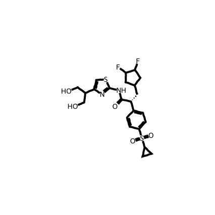 O=C(Nc1nc(C(CO)CO)cs1)[C@H](CC1CC(F)C(F)C1)c1ccc(S(=O)(=O)C2CC2)cc1